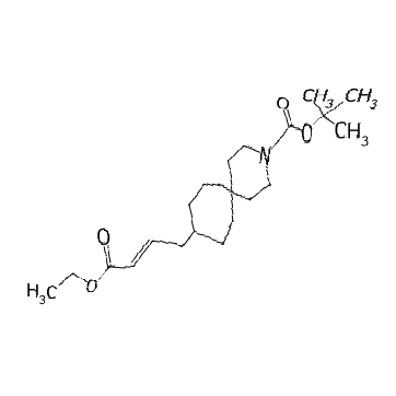 CCOC(=O)/C=C/CC1CCC2(CC1)CCN(C(=O)OC(C)(C)C)CC2